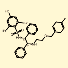 CC1=CCC(COCCN[C@@H](c2ccccc2)[C@@H](NS(=O)(=O)c2c(C(C)C)cc(C(C)C)cc2C(C)C)c2ccccc2)=CC1